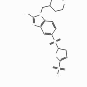 CC(C)(C)c1nc2cc(S(=O)(=O)C3CC=C(S(N)(=O)=O)S3)ccc2n1CC1CCOCC1